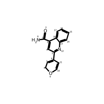 NC(=O)c1cc(C2=CCOC=C2)nc2ccccc12